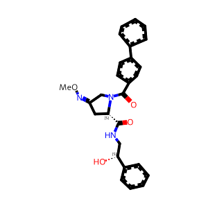 CON=C1C[C@@H](C(=O)NC[C@@H](O)c2ccccc2)N(C(=O)c2ccc(-c3ccccc3)cc2)C1